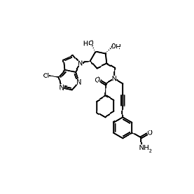 NC(=O)c1cccc(C#CCN(CC2C[C@@H](n3ccc4c(Cl)ncnc43)[C@H](O)[C@@H]2O)C(=O)C2CCCCC2)c1